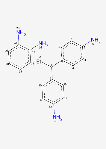 CCC(c1ccc(N)cc1)c1ccc(N)cc1.Nc1ccccc1N